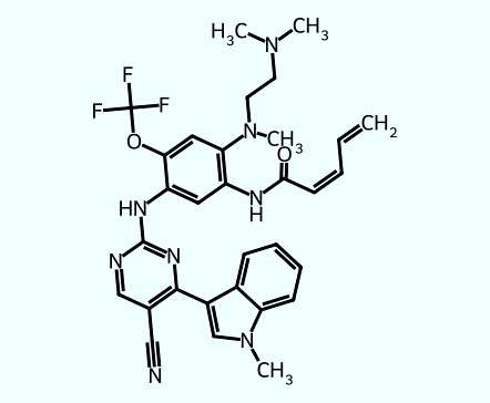 C=C/C=C\C(=O)Nc1cc(Nc2ncc(C#N)c(-c3cn(C)c4ccccc34)n2)c(OC(F)(F)F)cc1N(C)CCN(C)C